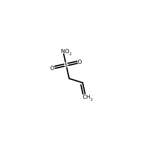 C=CCS(=O)(=O)[N+](=O)[O-]